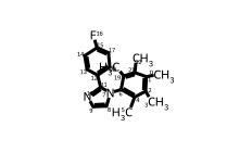 Cc1c(C)c(C)c(-n2ccnc2-c2ccc(F)cc2)c(C)c1C